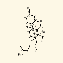 CC(C)[C@H](C)CC[C@@H](C)[C@H]1CC[C@H]2[C@@H]3CCC4=CC(=O)CC[C@]4(C)[C@H]3CC[C@]12C